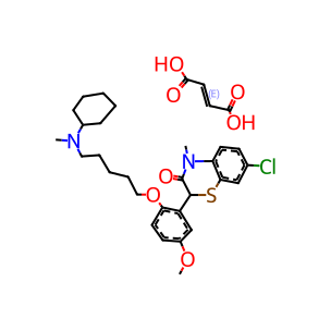 COc1ccc(OCCCCCN(C)C2CCCCC2)c(C2Sc3cc(Cl)ccc3N(C)C2=O)c1.O=C(O)/C=C/C(=O)O